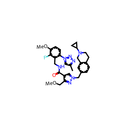 COCc1nn(Cc2ccc3c(c2)CN(C2CC2)CC3)cc1C(=O)NCc1c(-n2cc(C)nn2)ccc(OC)c1F